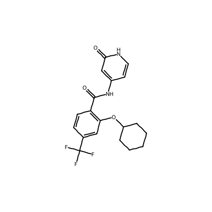 O=C(Nc1cc[nH]c(=O)c1)c1ccc(C(F)(F)F)cc1OC1CCCCC1